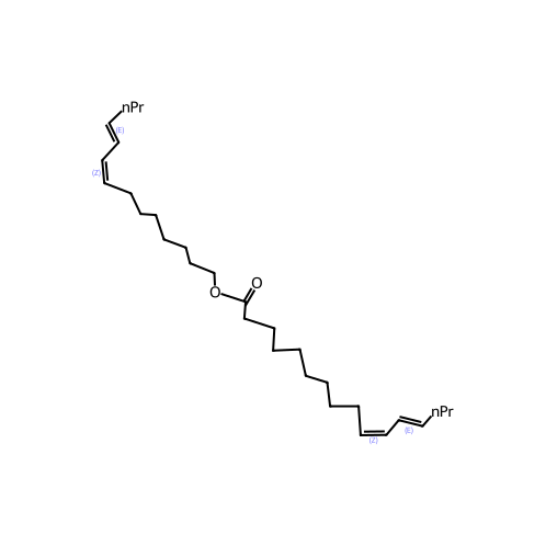 CCC/C=C/C=C\CCCCCCCCC(=O)OCCCCCCC/C=C\C=C\CCC